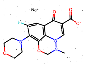 CN1COc2c(N3CCOCC3)c(F)cc3c(=O)c(C(=O)[O-])cn1c23.[Na+]